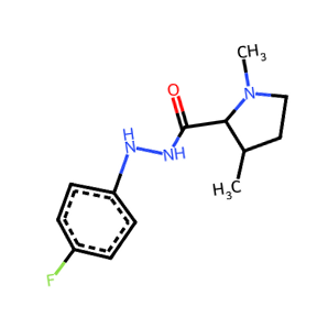 CC1CCN(C)C1C(=O)NNc1ccc(F)cc1